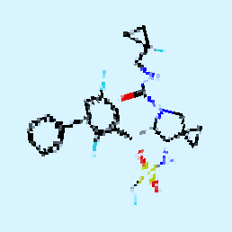 O=C(NCC1(F)CC1)N1CC2(CC2)[C@H](NS(=O)(=O)CF)[C@@H]1Cc1cc(F)cc(-c2ccccc2)c1F